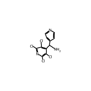 NC(c1ccncc1)c1c(Cl)c(Cl)nc(Cl)c1Cl